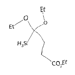 CCOC(=O)CCC([SiH3])(OCC)OCC